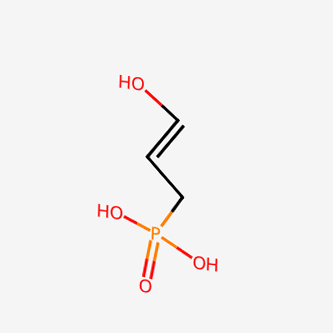 O=P(O)(O)CC=CO